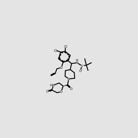 C=CCOc1cc(Cl)c(Cl)cc1C(N[S+]([O-])C(C)(C)C)C1CCN(C(=O)[C@@H]2CNC(=O)CO2)CC1